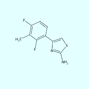 Cc1c(F)ccc(-c2csc(N)n2)c1F